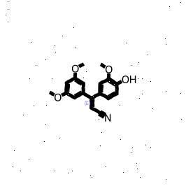 COc1cc(OC)cc(/C(=C/C#N)c2ccc(O)c(OC)c2)c1